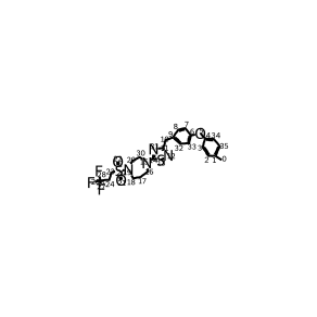 Cc1ccc(Oc2ccc(Cc3nsc(N4CCCN(S(=O)(=O)CCC(F)(F)F)CC4)n3)cc2)cc1